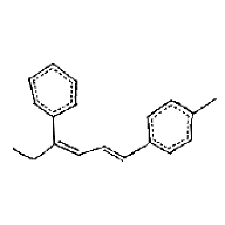 CCC(=CC=Cc1ccc(C)cc1)c1ccccc1